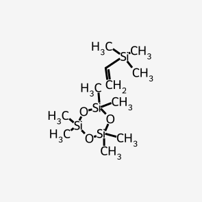 C=C[Si](C)(C)C.C[Si]1(C)O[Si](C)(C)O[Si](C)(C)O1